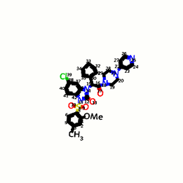 COc1cc(C)ccc1S(=O)(=O)n1c(=O)n(C(C(=O)N2CCN(c3ccncc3)CC2)c2ccccc2)c2cc(Cl)ccc21